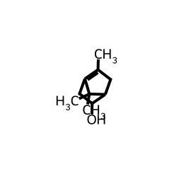 CC1=C2CC(O)C(C1)C2(C)C